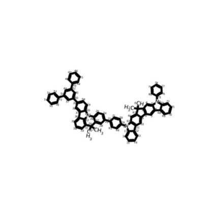 CC1(C)c2cc3c(cc2-c2cc4c5ccccc5n(-c5ccc(-c6ccc7c(c6)C(C)(C)c6cccc8c9cc(-c%10cc(-c%11ccccc%11)cc(-c%11ccccc%11)c%10)ccc9n-7c68)cc5)c4cc21)c1ccccc1n3-c1ccccc1